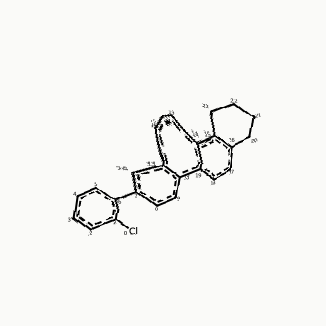 Clc1ccccc1-c1ccc2c(ccc3c4c(ccc32)CCCC4)c1